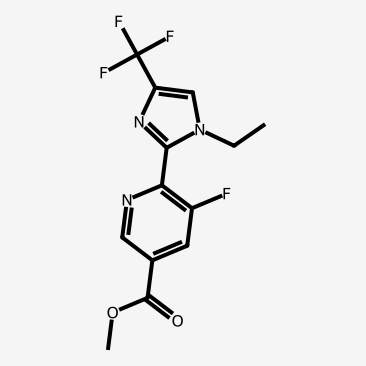 CCn1cc(C(F)(F)F)nc1-c1ncc(C(=O)OC)cc1F